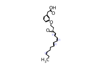 CC/C=C\CC/C=C/C=C\C=C\[C@@H](C=O)CCOc1cccc(CC(=O)O)c1